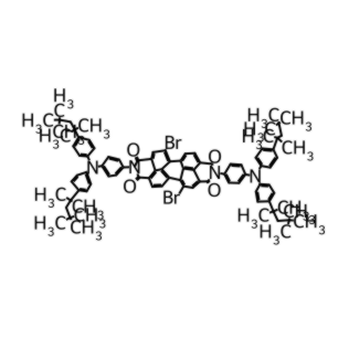 CC(C)(C)CC(C)(C)c1ccc(N(c2ccc(N3C(=O)c4ccc5c6c(Br)cc7c8c(ccc(c9c(Br)cc(c4c59)C3=O)c86)C(=O)N(c3ccc(N(c4ccc(C(C)(C)CC(C)(C)C)cc4)c4ccc(C(C)(C)CC(C)(C)C)cc4)cc3)C7=O)cc2)c2ccc(C(C)(C)CC(C)(C)C)cc2)cc1